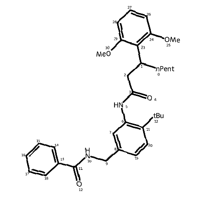 CCCCCC(CC(=O)Nc1cc(CNC(=O)c2ccccc2)ccc1C(C)(C)C)c1c(OC)cccc1OC